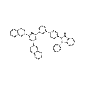 c1ccc(N2c3ccccc3NC2c2ccc(-c3cccc(-c4nc(-c5ccc6ccccc6c5)cc(-c5ccc6ccccc6c5)n4)c3)cc2)cc1